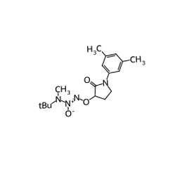 Cc1cc(C)cc(N2CCC(O/N=[N+](\[O-])N(C)C(C)(C)C)C2=O)c1